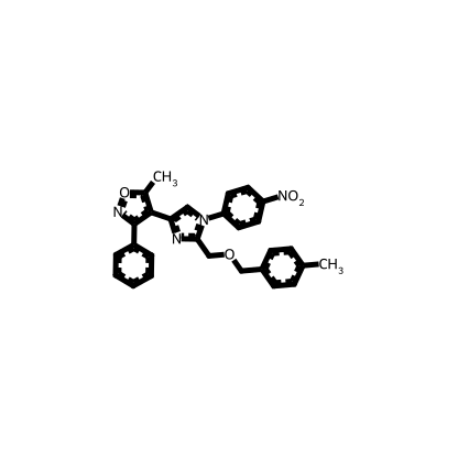 Cc1ccc(COCc2nc(-c3c(-c4ccccc4)noc3C)cn2-c2ccc([N+](=O)[O-])cc2)cc1